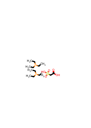 CCP(CC)CC.CCP(CC)CC.O=C(O)CS(=O)(=O)O